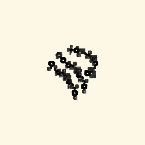 O=C(CCCNc1ncc(C(F)(F)F)cc1Cl)NNS(=O)(=O)c1ccc(CNC(=O)c2ccccc2O)s1.O=C(NCc1ccc(S(=O)(=O)NNC(=O)c2csc(-c3ccc(C4SCCS4)cc3)n2)s1)c1ccc(Cl)cc1.O=C(NCc1ccc(S(=O)(=O)NNC(=O)c2csc(COc3ccccc3Cl)n2)s1)c1ccc(Cl)cc1